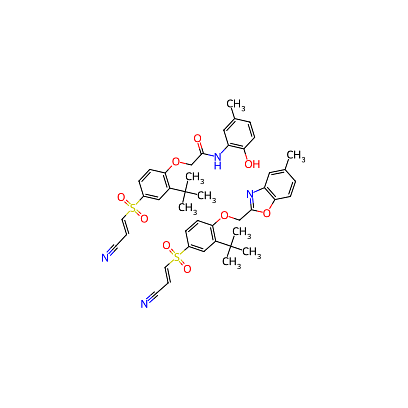 Cc1ccc(O)c(NC(=O)COc2ccc(S(=O)(=O)C=CC#N)cc2C(C)(C)C)c1.Cc1ccc2oc(COc3ccc(S(=O)(=O)C=CC#N)cc3C(C)(C)C)nc2c1